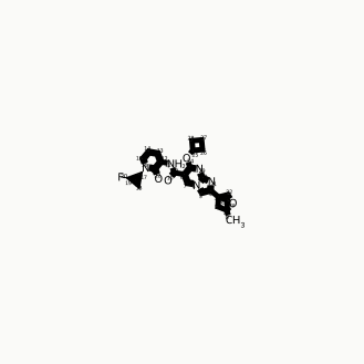 CC12CC(c3cn4cc(C(=O)Nc5cccn([C@@H]6C[C@@H]6F)c5=O)c(OC5CCC5)nc4n3)(CO1)C2